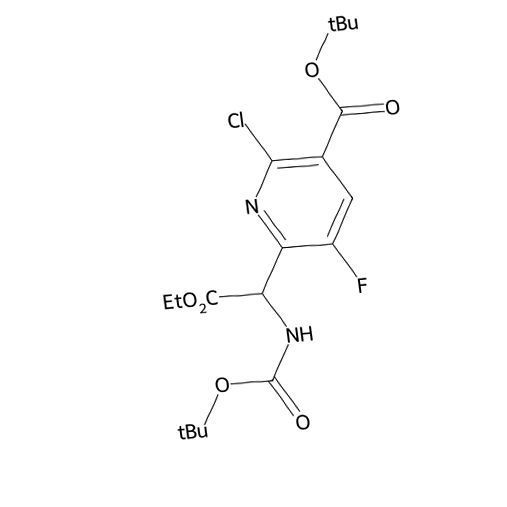 CCOC(=O)C(NC(=O)OC(C)(C)C)c1nc(Cl)c(C(=O)OC(C)(C)C)cc1F